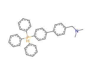 CN(C)Cc1ccc(-c2ccc([PH](c3ccccc3)(c3ccccc3)c3ccccc3)cc2)cc1